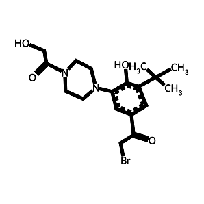 CC(C)(C)c1cc(C(=O)CBr)cc(N2CCN(C(=O)CO)CC2)c1O